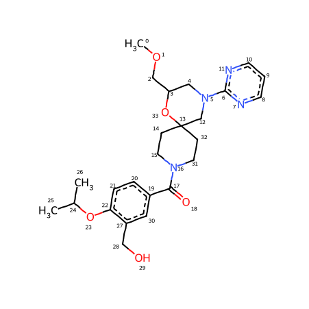 COCC1CN(c2ncccn2)CC2(CCN(C(=O)c3ccc(OC(C)C)c(CO)c3)CC2)O1